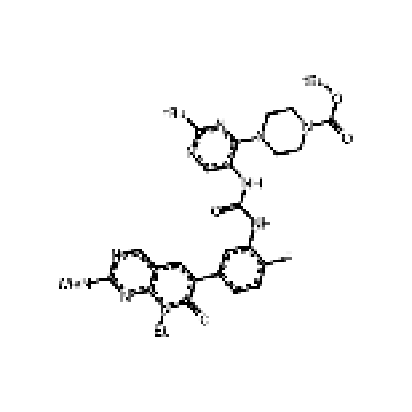 CCn1c(=O)c(-c2ccc(F)c(NC(=O)Nc3cnc(C(C)(C)C)nc3N3CCN(C(=O)OC(C)(C)C)CC3)c2)cc2cnc(NC)nc21